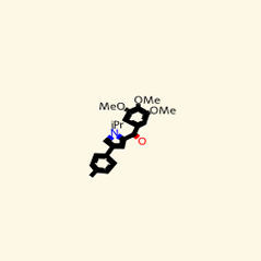 COc1cc(C(=O)c2cc(-c3ccc(C)cc3)cn2C(C)C)cc(OC)c1OC